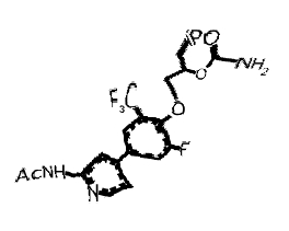 CC(=O)Nc1cc(-c2cc(F)c(OCC(CC(C)C)OC(N)=O)c(C(F)(F)F)c2)ccn1